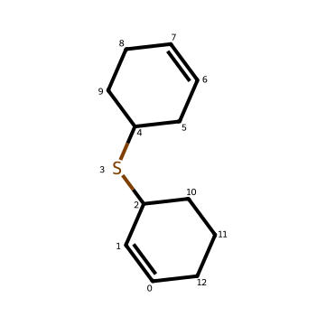 C1=CC(SC2CC=CCC2)CCC1